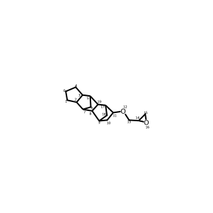 C1CC2C(C1)C1CC2C2C3CC(OCC4CO4)C(C3)C12